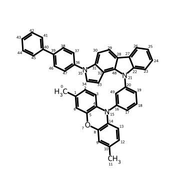 Cc1ccc2c(c1)Oc1cc(C)ccc1N2c1cccc(-n2c3ccccc3c3ccc4c(ccn4-c4ccc(-c5ccccc5)cc4)c32)c1